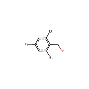 CCc1cc(CC)c(CBr)c(CC)c1